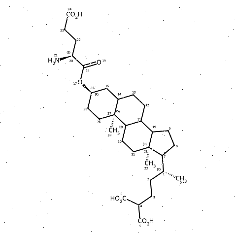 C[C@H](CCC(C(=O)O)C(=O)O)C1CCC2C3CCC4C[C@H](OC(=O)[C@@H](N)CCC(=O)O)CC[C@]4(C)C3CC[C@@]21C